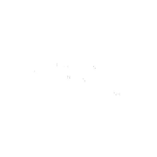 C/C(=N/C(=C\C=O)N(C)C1CCC(C)(N)CC1)N(C)c1cccc(Cl)c1Cl